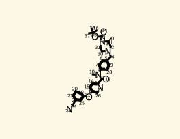 C[C@H]1CN(Cc2ccc(N(C)C(=O)c3ccc(Oc4cccc(C#N)c4)cn3)cc2)CCN1C(=O)OC(C)(C)C